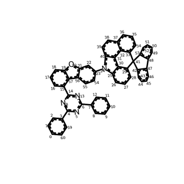 c1ccc(-c2nc(-c3ccccc3)nc(-c3cccc4oc5cc(-n6c7cccc8c7c7c9c(cccc9ccc76)C86c7ccccc7-c7ccccc76)ccc5c34)n2)cc1